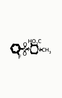 CN1CCN(S(=O)(=O)c2ccccc2F)C(C(=O)O)C1